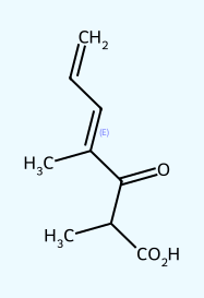 C=C/C=C(\C)C(=O)C(C)C(=O)O